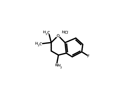 CC1(C)CC(N)c2cc(F)ccc2O1.Cl